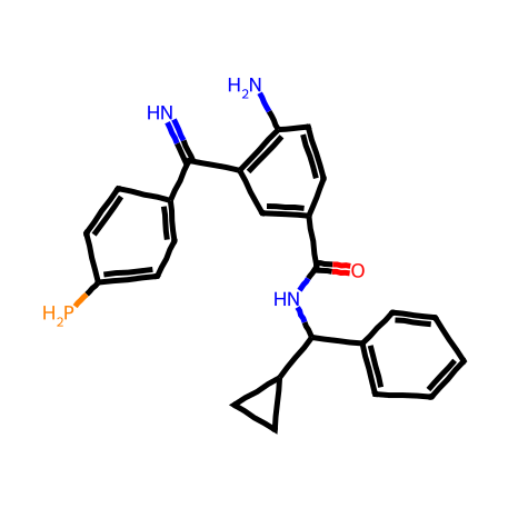 N=C(c1ccc(P)cc1)c1cc(C(=O)NC(c2ccccc2)C2CC2)ccc1N